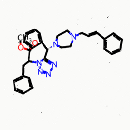 COC(=O)C(Cc1ccccc1)n1nnnc1[C@H](c1ccccc1)N1CCN(C/C=C/c2ccccc2)CC1